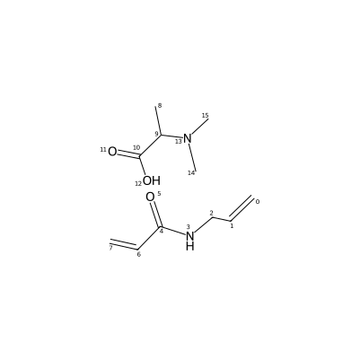 C=CCNC(=O)C=C.CC(C(=O)O)N(C)C